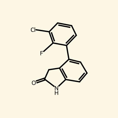 O=C1Cc2c(cccc2-c2cccc(Cl)c2F)N1